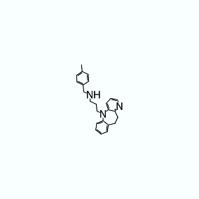 Cc1ccc(CNCCCN2c3ccccc3CCc3ncccc32)cc1